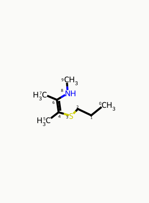 CCCSC(C)=C(C)NC